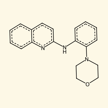 c1ccc(N2CCOCC2)c(Nc2ccc3ccccc3n2)c1